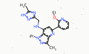 CCOc1ncccc1-c1cc(NCc2n[nH]c(C)n2)c2c(n1)c(C)nn2C(C)C